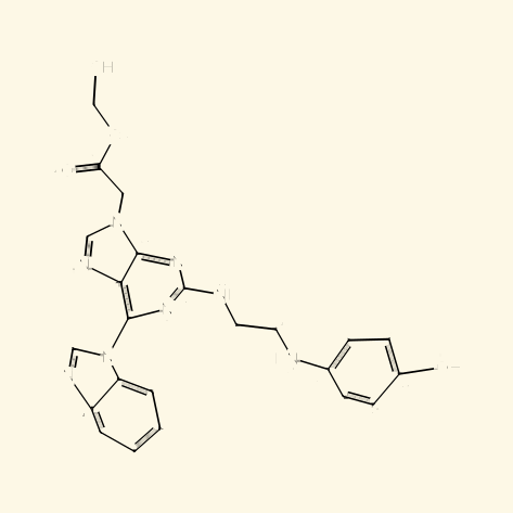 CCOC(=O)Cn1cnc2c(-n3cnc4ccccc43)nc(NCCNc3ccc(O)cc3)nc21